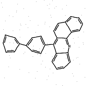 c1ccc(-c2ccc(-c3c4ccccc4nc4c3ccc3ccccc34)cc2)cc1